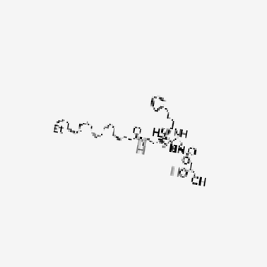 CC/C=C\C/C=C\C/C=C\C/C=C\C/C=C\C/C=C\CCC(=O)NCCSSC(C)(C)[C@@H](CNC(=O)OC[C@@H](O)CO)NC(=O)CCCc1ccccc1